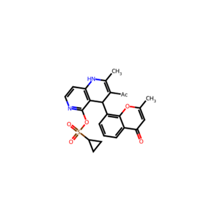 CC(=O)C1=C(C)Nc2ccnc(OS(=O)(=O)C3CC3)c2C1c1cccc2c(=O)cc(C)oc12